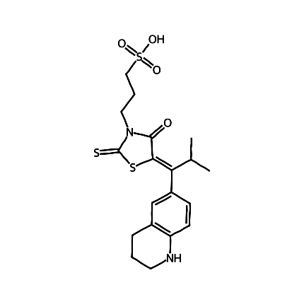 CC(C)C(=C1SC(=S)N(CCCS(=O)(=O)O)C1=O)c1ccc2c(c1)CCCN2